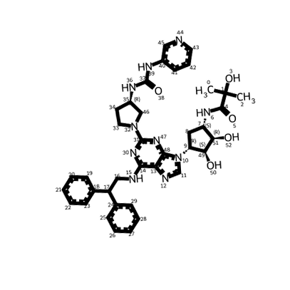 CC(C)(O)C(=O)N[C@H]1C[C@@H](n2cnc3c(NCC(c4ccccc4)c4ccccc4)nc(N4CC[C@@H](NC(=O)Nc5cccnc5)C4)nc32)[C@H](O)[C@@H]1O